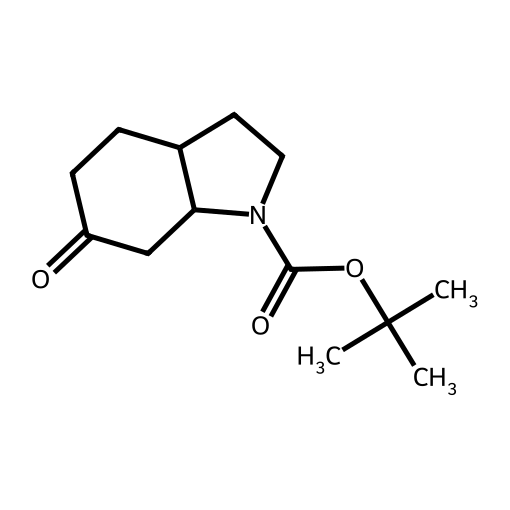 CC(C)(C)OC(=O)N1CCC2CCC(=O)CC21